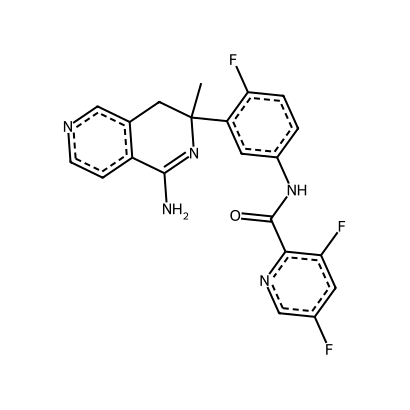 CC1(c2cc(NC(=O)c3ncc(F)cc3F)ccc2F)Cc2cnccc2C(N)=N1